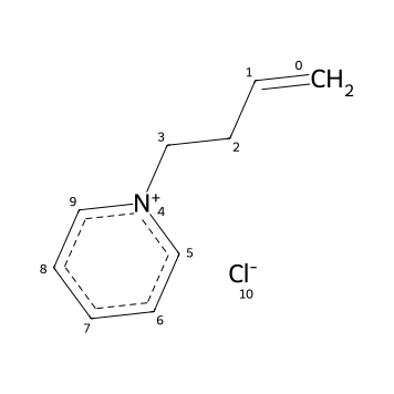 C=CCC[n+]1ccccc1.[Cl-]